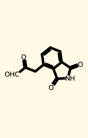 O=CC(=O)Cc1cccc2c1C(=O)NC2=O